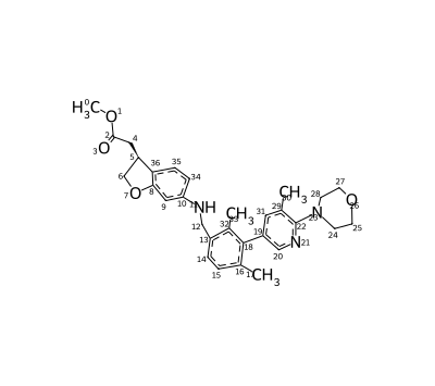 COC(=O)C[C@@H]1COc2cc(NCc3ccc(C)c(-c4cnc(N5CCOCC5)c(C)c4)c3C)ccc21